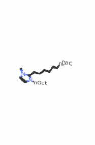 CCCCCCCCCCCCCCCCC1N(C)C=CN1CCCCCCCC